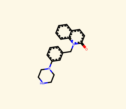 O=c1ccc2ccccc2n1Cc1cccc(N2CCNCC2)c1